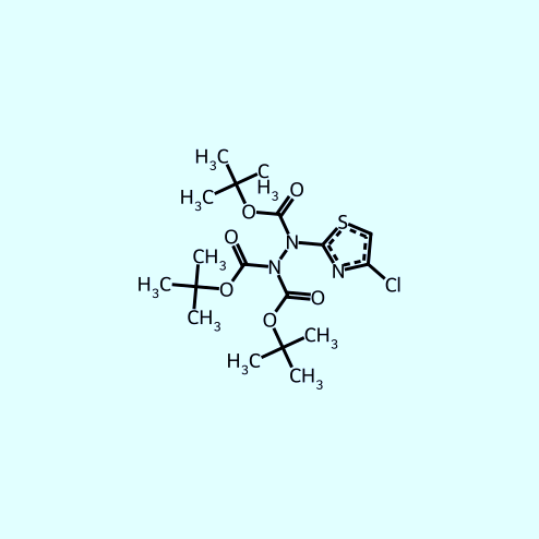 CC(C)(C)OC(=O)N(C(=O)OC(C)(C)C)N(C(=O)OC(C)(C)C)c1nc(Cl)cs1